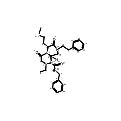 CCN1CC(=O)N2[C@@H](CCSC)C(=O)N(CCc3ccccc3)C[C@@H]2N1C(=O)NCc1ccccc1